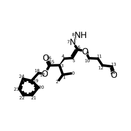 CC(C)[C@H](C/C=C(\N=N)OCCCC=O)C(=O)OCc1ccccc1